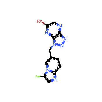 Fc1cnc2ccc(Cn3nnc4ncc(Br)nc43)cn12